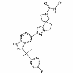 CCNC(=O)N1CCC2(CCn3nc(-c4cnc5[nH]cc(C(C)(C)c6ccc(F)cc6)c5c4)cc32)C1